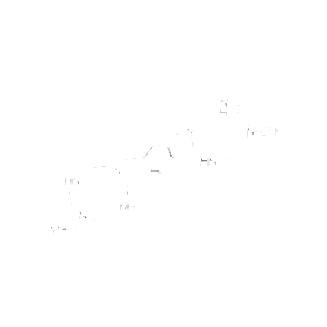 CON1CCNCCN(Cc2cccc(CN3CCNCCN(C=O)CCNCC3)c2)CCNCC1